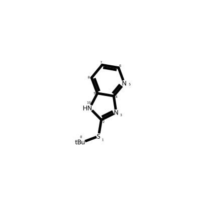 CC(C)(C)Sc1nc2ncccc2[nH]1